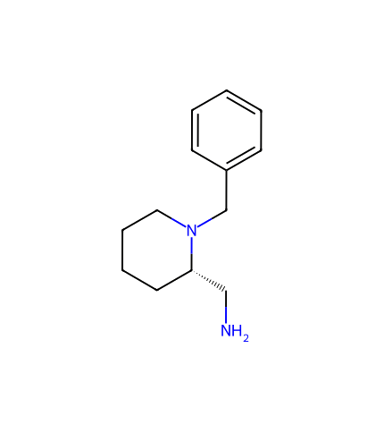 NC[C@@H]1CCCCN1Cc1ccccc1